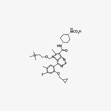 Cc1cc(-c2ncnc3c(C(=O)N[C@H]4CC[C@@H](NC(=O)O)CC4)c(C)n(COCC[Si](C)(C)C)c23)c(OCC2CC2)cc1F